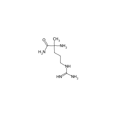 CC(N)(CCCNC(=N)N)C(N)=O